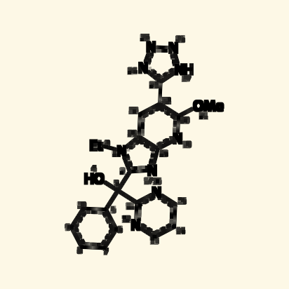 CCn1c(C(O)(c2ccccc2)c2ncccn2)nc2nc(OC)c(-c3nnn[nH]3)cc21